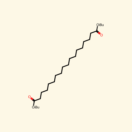 CC(C)COC(=O)CCCCCCCCCCCCCCCCC(=O)OCC(C)C